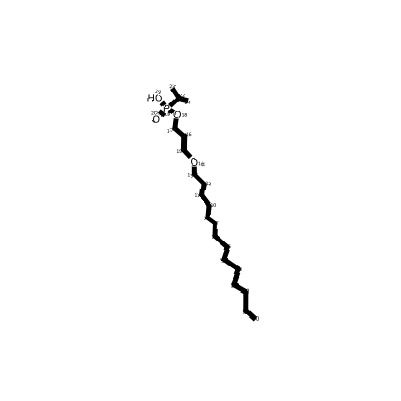 CCCCCCCCCCCCCCOCCCOP(=O)(O)C(C)C